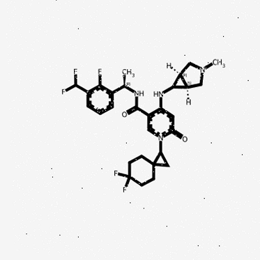 C[C@@H](NC(=O)c1cn(C2CC23CCC(F)(F)CC3)c(=O)cc1NC1[C@H]2CN(C)C[C@@H]12)c1cccc(C(F)F)c1F